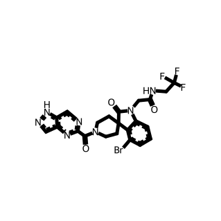 O=C(CN1C(=O)C2(CCN(C(=O)c3ncc4[nH]ncc4n3)CC2)c2c(Br)cccc21)NCC(F)(F)F